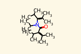 CC(C)=C(C(=O)N(C(=C(C)C)C(C)C)C(C)C)C(C)C